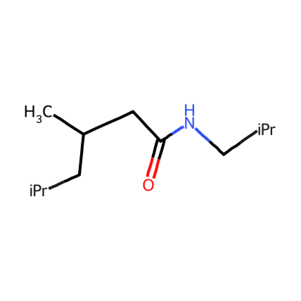 CC(C)CNC(=O)CC(C)CC(C)C